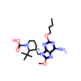 CCCCOc1nc(N)c2nc(OC)n(C[C@@H]3CCCN(C(=O)O)C3C(C)(C)C)c2n1